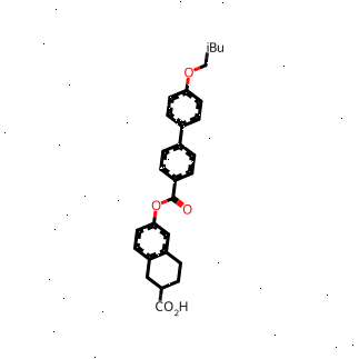 CCC(C)COc1ccc(-c2ccc(C(=O)Oc3ccc4c(c3)CCC(C(=O)O)C4)cc2)cc1